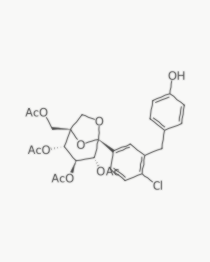 CC(=O)OC[C@@]12CO[C@@](c3ccc(Cl)c(Cc4ccc(O)cc4)c3)(O1)[C@H](OC(C)=O)[C@@H](OC(C)=O)[C@@H]2OC(C)=O